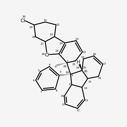 C[C@@]1([C@]2(c3ccccc3)C3C=CC=CC3C3CC=CC[C@H]32)CC=CC2=C1OC1CC(Cl)CCC21